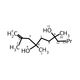 C=C(C)CC(C)(O)CCC(C)(O)CC(C)C